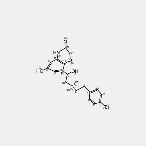 CCc1ccc(CC[N+](C)(C)CC(O)c2cc(O)cc3c2OCC(=O)N3)cc1